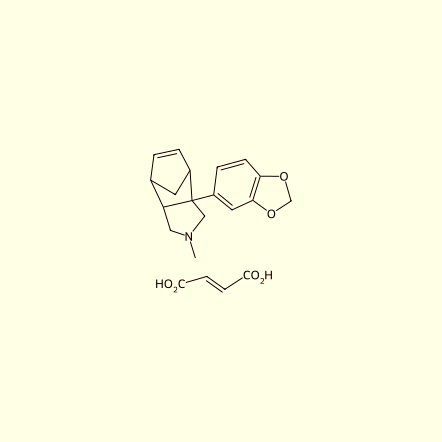 CN1CC2C3C=CC(C3)C2(c2ccc3c(c2)OCO3)C1.O=C(O)C=CC(=O)O